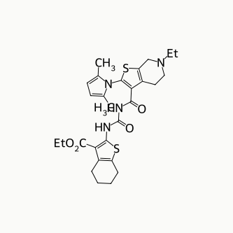 CCOC(=O)c1c(NC(=O)NC(=O)c2c(-n3c(C)ccc3C)sc3c2CCN(CC)C3)sc2c1CCCC2